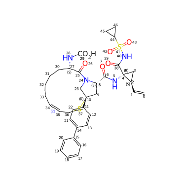 C=C[C@@H]1C[C@]1(NC(=O)[C@@H]1C[C@@]2(c3ccc(-c4ccccc4)cc3)CN1C(=O)[C@@H](NC(=O)O)CCCC/C=C\CS2)C(=O)NS(=O)(=O)C1CC1